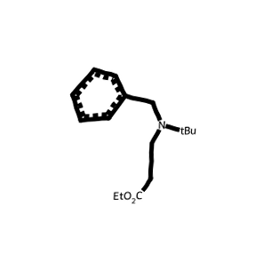 CCOC(=O)CCN(Cc1ccccc1)C(C)(C)C